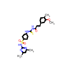 COc1cc(/C=C/C(=O)NC(=S)Nc2ccc(S(=O)(=O)Nc3nc(C)cc(C)n3)cc2)ccc1C